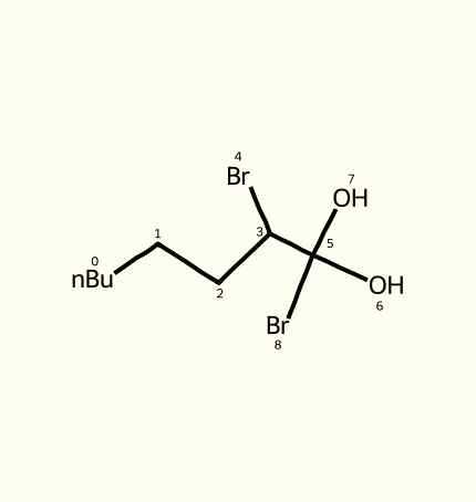 CCCCCCC(Br)C(O)(O)Br